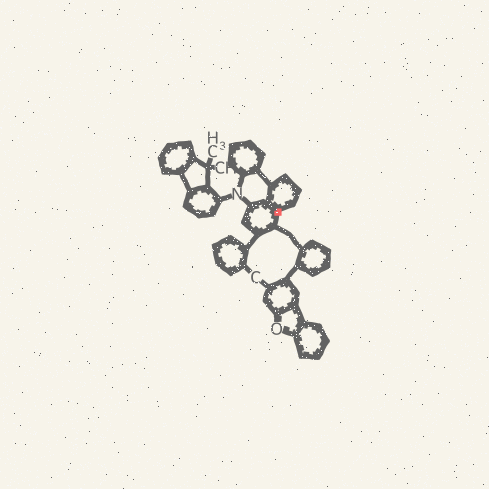 CC1(C)c2ccccc2-c2cccc(N(c3ccc4c(c3)-c3ccccc3Cc3cc5oc6ccccc6c5cc3-c3ccccc3C4)c3ccccc3-c3ccccc3)c21